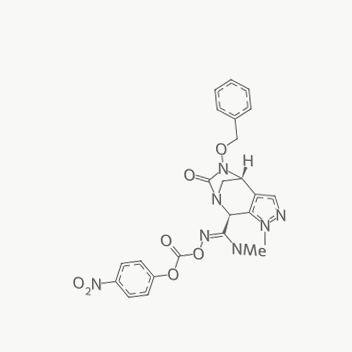 CN/C(=N\OC(=O)Oc1ccc([N+](=O)[O-])cc1)[C@@H]1c2c(cnn2C)[C@@H]2CN1C(=O)N2OCc1ccccc1